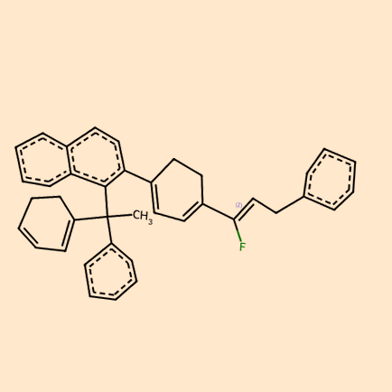 CC(C1=CC=CCC1)(c1ccccc1)c1c(C2=CC=C(/C(F)=C/Cc3ccccc3)CC2)ccc2ccccc12